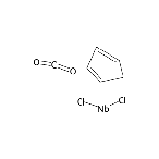 C1=CCC=C1.O=C=O.[Cl][Nb][Cl]